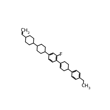 C=CC1CCC(C2CCC(c3ccc(C4=CCC(c5ccc(CC)cc5)CC4)c(F)c3)CC2)CC1